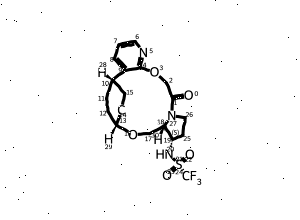 O=C1COc2ncccc2[C@H]2CC[C@H](CC2)OC[C@H]2[C@@H](NS(=O)(=O)C(F)(F)F)CCN12